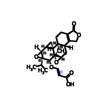 CC(C)[C@]12O[C@H]1[C@@H]1C[C@]13[C@]1(O[C@H]1C[C@H]1C4=C(CC[C@@]13C)C(=O)OC4)[C@@H]2O/C=C/C(=O)O